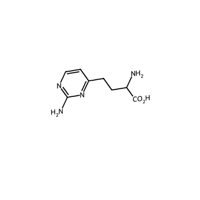 Nc1nccc(CCC(N)C(=O)O)n1